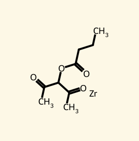 CCCC(=O)OC(C(C)=O)C(C)=O.[Zr]